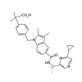 Cc1c(C)n(Cc2ccc(C(C)(C)C(=O)O)cc2)c2ccc(C(=O)N[C@@H](C)c3cncc(C4CC4)n3)cc12